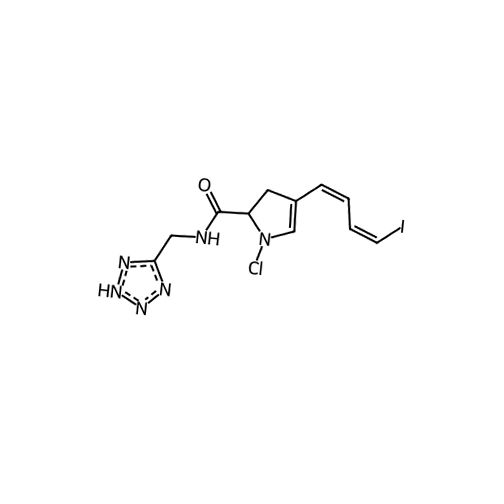 O=C(NCc1nn[nH]n1)C1CC(/C=C\C=C/I)=CN1Cl